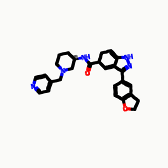 O=C(N[C@@H]1CCCN(Cc2ccncc2)C1)C1C=c2c(-c3ccc4c(c3)CCO4)n[nH]c2=CC1